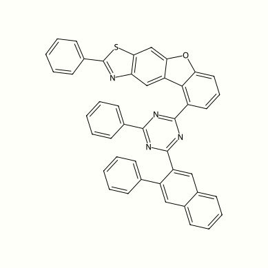 c1ccc(-c2nc(-c3cc4ccccc4cc3-c3ccccc3)nc(-c3cccc4oc5cc6sc(-c7ccccc7)nc6cc5c34)n2)cc1